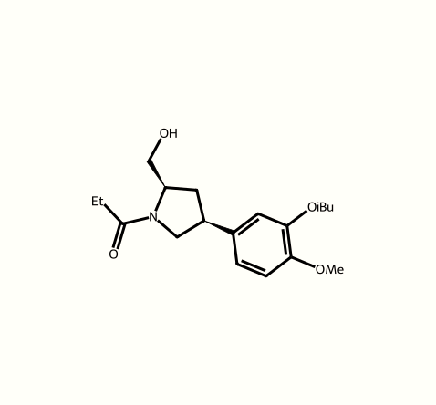 CCC(=O)N1C[C@H](c2ccc(OC)c(OCC(C)C)c2)C[C@@H]1CO